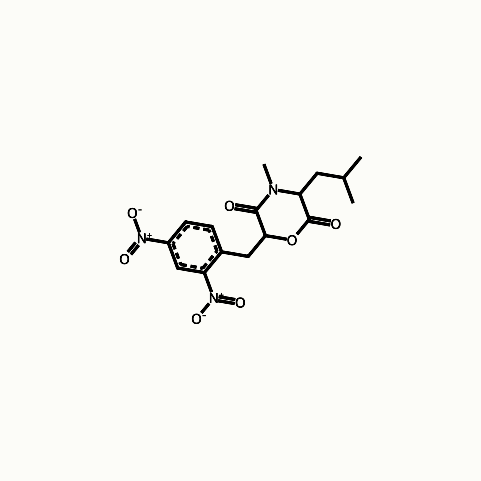 CC(C)CC1C(=O)OC(Cc2ccc([N+](=O)[O-])cc2[N+](=O)[O-])C(=O)N1C